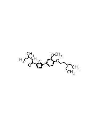 CCN(CC)CCOc1ccc(-c2ccc(C(=O)NC(C)C)s2)cc1OC